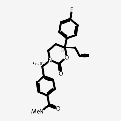 C=CC[C@]1(c2ccc(F)cc2)CCN([C@@H](C)c2ccc(C(=O)NC)cc2)C(=O)O1